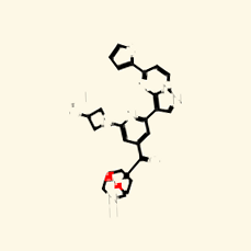 COC1CN(c2cc(C(=O)N3CC4CCC(C3)NC4)cc(-c3cnn4ccc(-c5cccs5)nc34)n2)C1